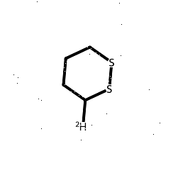 [2H]C1CCCSS1